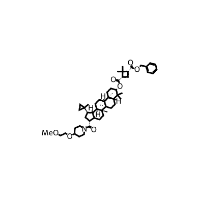 COCCOC1CCN(C(=O)[C@@H]2C[C@@H](C3(C)CC3)[C@H]3C2CC[C@]2(C)[C@@H]3CC[C@@H]3[C@@]4(C)CC[C@H](OC(=O)[C@H]5C[C@@H](C(=O)OCc6ccccc6)C5(C)C)C(C)(C)[C@@H]4CC[C@]32C)CC1